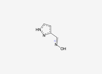 O/N=C/c1cc[nH]n1